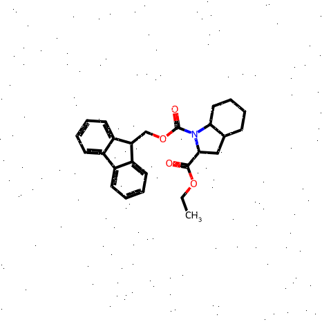 CCOC(=O)C1CC2CCCCC2N1C(=O)OCC1c2ccccc2-c2ccccc21